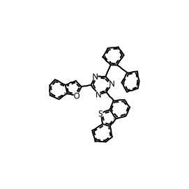 c1ccc(-c2ccccc2-c2nc(-c3cc4ccccc4o3)nc(-c3cccc4c3sc3ccccc34)n2)cc1